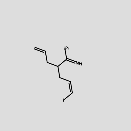 C=CCC(C/C=C\I)C(=N)C(C)C